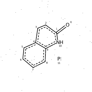 O=c1ccc2ccccc2[nH]1.[P]